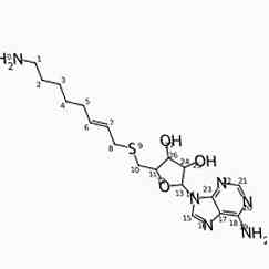 NCCCCC/C=C/CSCC1OC(n2cnc3c(N)ncnc32)C(O)C1O